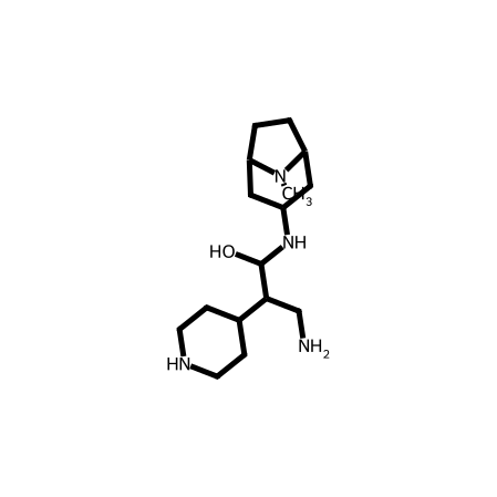 CN1C2CCC1CC(NC(O)C(CN)C1CCNCC1)C2